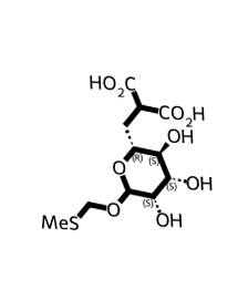 CSCOC1O[C@H](CC(C(=O)O)C(=O)O)[C@@H](O)[C@H](O)[C@@H]1O